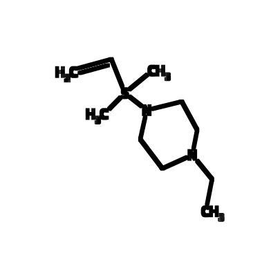 C=CS(C)(C)N1CCN(CC)CC1